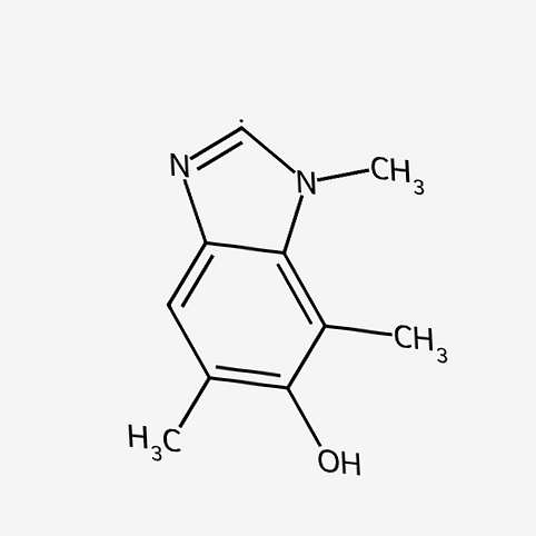 Cc1cc2n[c]n(C)c2c(C)c1O